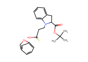 CC(C)(C)OC(=O)C1Cc2ccccc2N1CCC(O)=S.c1cc2cc(c1)OC2